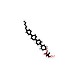 CCCCCC1CCC(C2CCC(C3CCC(C4CCC(OC(=O)C(C)(C)CO)CC4)CC3)CC2)CC1